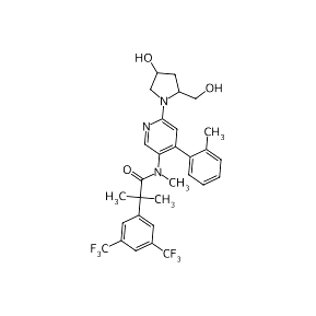 Cc1ccccc1-c1cc(N2CC(O)CC2CO)ncc1N(C)C(=O)C(C)(C)c1cc(C(F)(F)F)cc(C(F)(F)F)c1